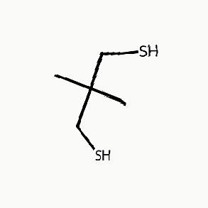 CC(C)(CS)CS